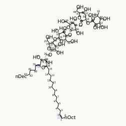 CCCCCCCC/C=C\CCCCCCCCCCCCCC(=O)N[C@@H](CO[C@@H]1OC(CO)[C@@H](O[C@@H]2OC(CO)[C@H](O[C@@H]3OC(CO)[C@H](O)[C@H](O[C@H]4OC(CO)[C@H](O)[C@H](O)C4O[C@H]4OC(C)[C@@H](O)C(O)[C@@H]4O)C3O)[C@H](O)C2O)[C@H](O)C1O)[C@H](O)/C=C/CCCCCCCCCCCCC